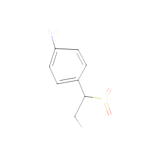 Nc1ccc(C(CCl)[SH](=O)=O)cc1